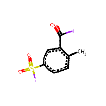 Cc1ccc(S(=O)(=O)I)cc1C(=O)I